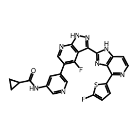 O=C(Nc1cncc(-c2cnc3[nH]nc(-c4nc5c(-c6ccc(F)s6)nccc5[nH]4)c3c2F)c1)C1CC1